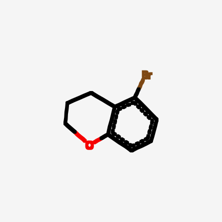 Brc1cccc2c1CCCO2